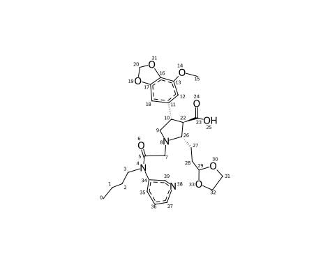 CCCCN(C(=O)CN1C[C@H](c2cc(OC)c3c(c2)OCO3)[C@@H](C(=O)O)[C@@H]1CCC1OCCO1)c1cccnc1